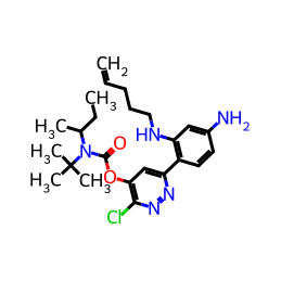 C=CCCCNc1cc(N)ccc1-c1cc(OC(=O)N(C(C)CC)C(C)(C)C)c(Cl)nn1